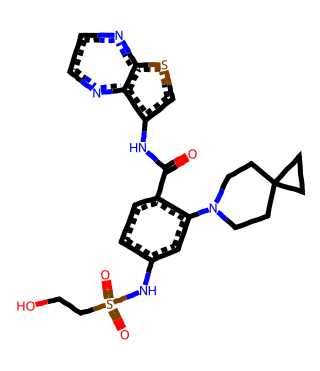 O=C(Nc1csc2nccnc12)c1ccc(NS(=O)(=O)CCO)cc1N1CCC2(CC1)CC2